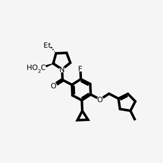 CC[C@@H]1CCN(C(=O)c2cc(C3CC3)c(OCC3=CCC(C)C3)cc2F)[C@H]1C(=O)O